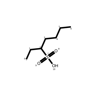 [CH2]CC(CCCC)S(=O)(=O)O